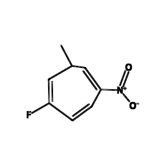 CC1C=C(F)C=CC([N+](=O)[O-])=C1